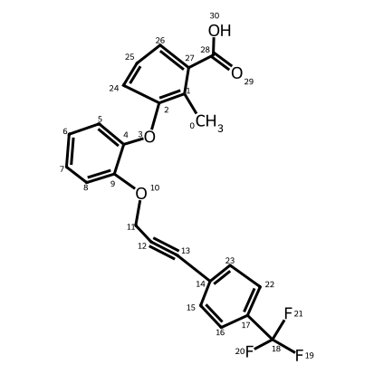 Cc1c(Oc2ccccc2OCC#Cc2ccc(C(F)(F)F)cc2)cccc1C(=O)O